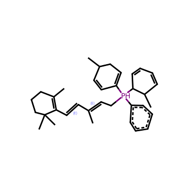 CC1=C(/C=C/C(C)=C/C[PH](C2=CCC(C)C=C2)(c2ccccc2)C2C=CC=CC2C)C(C)(C)CCC1